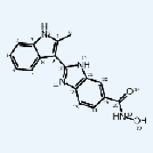 Cc1[nH]c2ccccc2c1-c1nc2ccc(C(=O)NO)cc2[nH]1